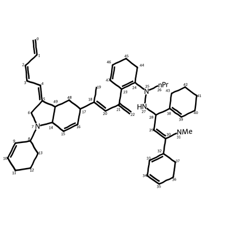 C=C/C=C\C=C1/CN(C2C=CCCC2)C2C=CC(/C(C)=C/C(=C)C3=C(N(CCC)NC(/C=C(\NC)C4=CC=CCC4)C4=CCCCC4)CCC=C3)CC12